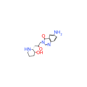 Nc1ccc2ncn(CC(=O)C[C@H]3NCCC[C@@H]3O)c(=O)c2c1